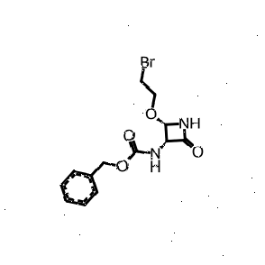 O=C(N[C@@H]1C(=O)N[C@@H]1OCCBr)OCc1ccccc1